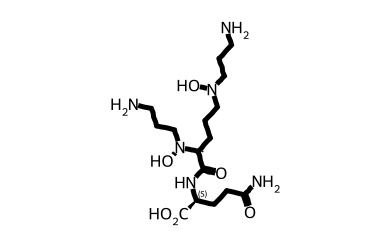 NCCCN(O)CCC[C](C(=O)N[C@@H](CCC(N)=O)C(=O)O)N(O)CCCN